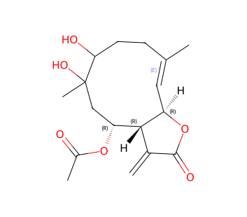 C=C1C(=O)O[C@@H]2/C=C(\C)CCC(O)C(C)(O)C[C@@H](OC(C)=O)[C@@H]12